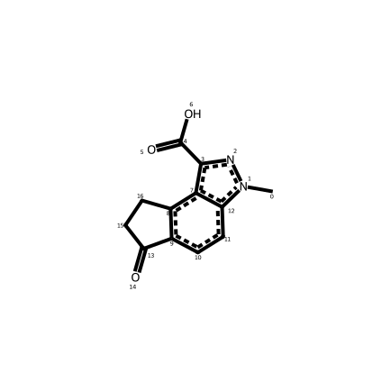 Cn1nc(C(=O)O)c2c3c(ccc21)C(=O)CC3